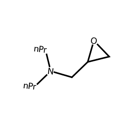 CCCN(CCC)CC1CO1